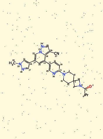 CC(C)C(=O)N1CC2(CCN(c3ccc(-c4cc(-c5cnn(C)c5)cn5ncc(C#N)c45)cn3)CC2)C1